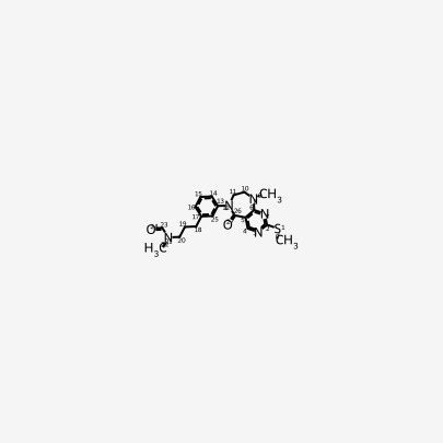 CSc1ncc2c(n1)N(C)CCN(c1cccc(CCCN(C)C=O)c1)C2=O